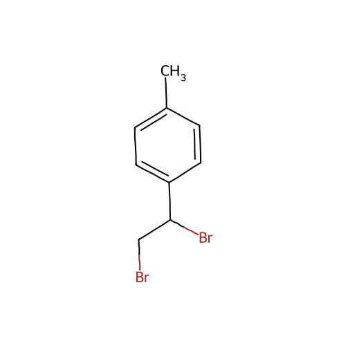 Cc1ccc(C(Br)CBr)cc1